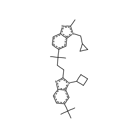 Cc1nc2ccc(C(C)(C)CCc3nc4ccc(C(C)(C)C)cc4n3C3CCC3)cc2n1CC1CC1